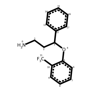 NCCC(Oc1ccccc1C(F)(F)F)c1ccccc1